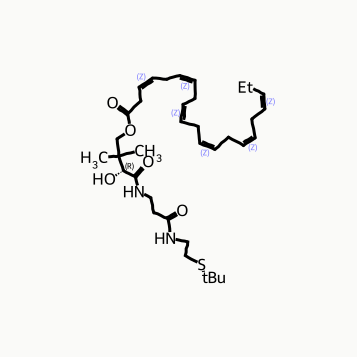 CC/C=C\C/C=C\C/C=C\C/C=C\C/C=C\C/C=C\CC(=O)OCC(C)(C)[C@@H](O)C(=O)NCCC(=O)NCCSC(C)(C)C